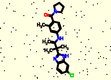 C=C(Nc1ccc(C(=O)N2CCCC2)c(C)c1)C(C)(C)c1nc2ccc(Cl)cc2[nH]1